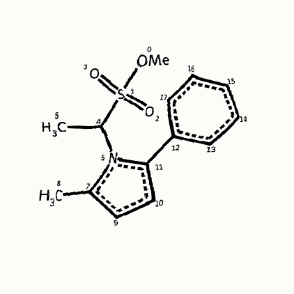 COS(=O)(=O)C(C)n1c(C)ccc1-c1ccccc1